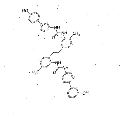 Cc1ccc(CCc2ccc(C)c(NC(=O)Nc3ccn(-c4ccc(O)cc4)c3)c2)c(NC(=O)Nc2ccc(-c3cccc(O)c3)nc2)c1